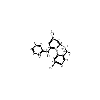 C[C@H](Nc1cc(Cl)cc(Nc2cnccn2)n1)c1ccc(F)cc1